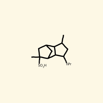 CCCC1CC(C)C2C3CC(C12)C(C)(S(=O)(=O)O)C3